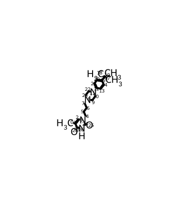 Cc1cn(CCCCN2CCN(c3ccc(C(C)(C)C)cc3)CC2)c(=O)[nH]c1=O